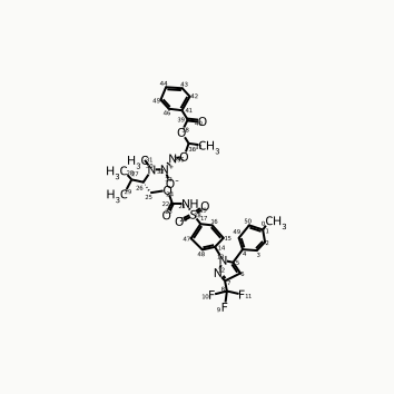 Cc1ccc(-c2cc(C(F)(F)F)nn2-c2ccc(S(=O)(=O)NC(=O)OC[C@H](C(C)C)N(C)/[N+]([O-])=N/OC(C)OC(=O)c3ccccc3)cc2)cc1